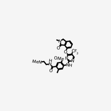 CNCCNC(=O)c1cc(OC)c(Nc2ncc(C(F)(F)F)c(Oc3cccc4c3C(=O)N(C)C4)n2)cc1C